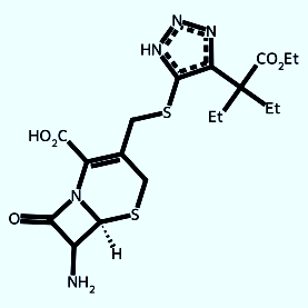 CCOC(=O)C(CC)(CC)c1nn[nH]c1SCC1=C(C(=O)O)N2C(=O)C(N)[C@@H]2SC1